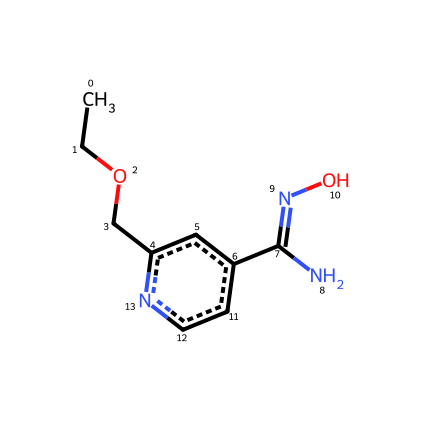 CCOCc1cc(/C(N)=N/O)ccn1